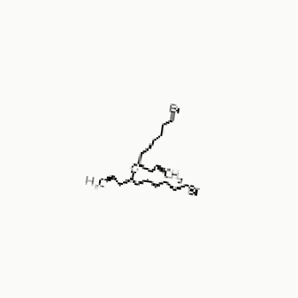 C=CCC(CCCCCCBr)OC(CC=C)CCCCCCBr